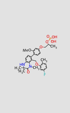 COc1cc(OC[C@H](C)OP(=O)(O)O)ccc1-c1ccc2c(c1COc1cc(F)ccc1C)N(C)C(=O)C(C)(C)N2